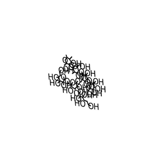 CC1OC(CO)C(OC2OC(CO)C(OC3OC(COC4OC(COC5OC(CO)C(O)C(O)C5O)C(O)C(OC(O)C(O)C(O)C(O)CCO)C4O)C(O)C(OC4OC(CO)C(O)C(O)C4O)C3O)C(O)C2C)C(O)C1C